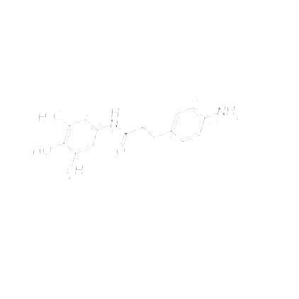 Cc1cc(NC(=O)CCc2ccc(N)cc2)cc(C)c1O